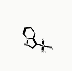 N=S(N)(=O)C1=C2OCC=CN2NC1